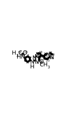 COc1nc(N[C@H]2CC[C@@H](NC(C)=O)CC2)nn2ccc(-c3ccc4nccn4c3)c12